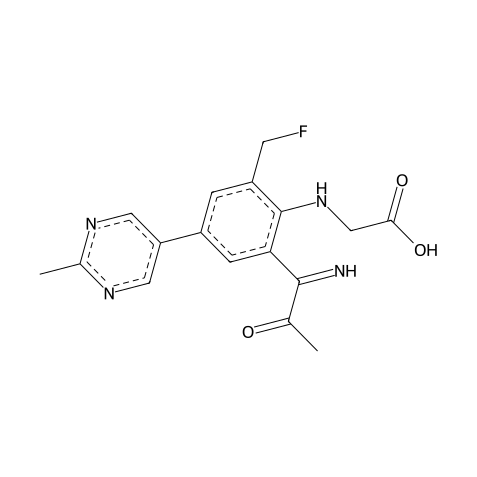 CC(=O)C(=N)c1cc(-c2cnc(C)nc2)cc(CF)c1NCC(=O)O